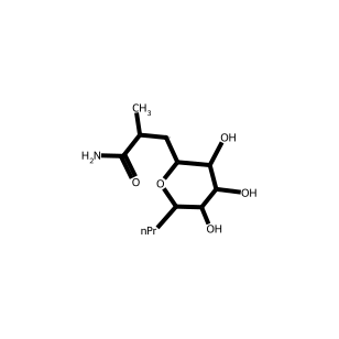 CCCC1OC([CH]C(C)C(N)=O)C(O)C(O)C1O